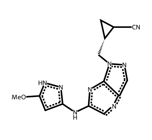 COc1cc(Nc2cnc3cnn(C[C@@H]4CC4C#N)c3n2)n[nH]1